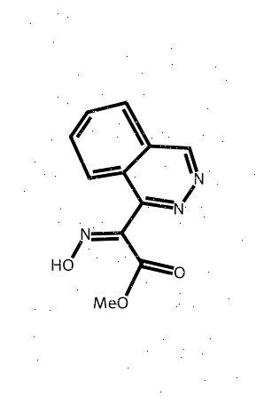 COC(=O)C(=NO)c1nncc2ccccc12